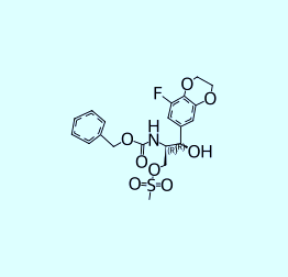 CS(=O)(=O)OC[C@@H](NC(=O)OCc1ccccc1)[C@H](O)c1cc(F)c2c(c1)OCCO2